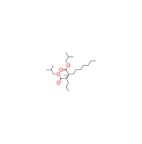 CCCCCCC/C(C(=O)OCC(C)C)=C(\CCC)C(=O)OCC(C)C